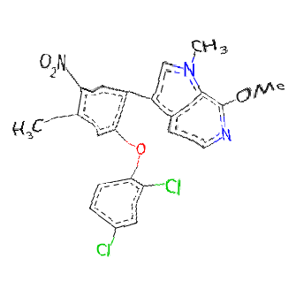 COc1nccc2c(-c3cc([N+](=O)[O-])c(C)cc3Oc3ccc(Cl)cc3Cl)cn(C)c12